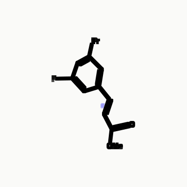 COC(=O)/C=C/c1cc(F)cc(C(C)C)c1